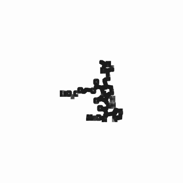 CCOC(=O)OCCOC(=O)C1=C(CSc2nc(C)ns2)CS[C@H]2C(NC(=O)/C(=N\OC)c3cscn3)C(=O)N12